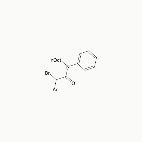 CCCCCCCCN(C(=O)C(Br)C(C)=O)c1ccccc1